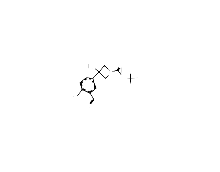 CC(C)(C)OC(=O)N1CC(O)(c2ccc(Br)c(C=O)c2)C1